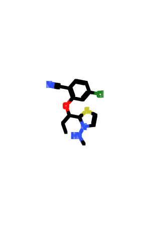 CCC(Oc1cc(Cl)ccc1C#N)C1SC=CN1NC